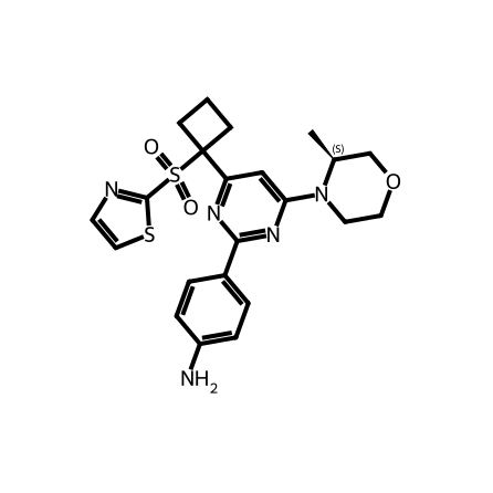 C[C@H]1COCCN1c1cc(C2(S(=O)(=O)c3nccs3)CCC2)nc(-c2ccc(N)cc2)n1